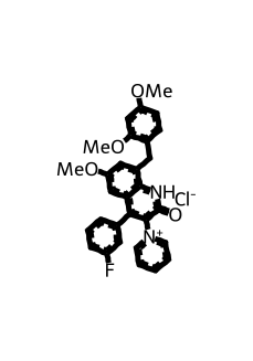 COc1ccc(Cc2cc(OC)cc3c(-c4cccc(F)c4)c(-[n+]4ccccc4)c(=O)[nH]c23)c(OC)c1.[Cl-]